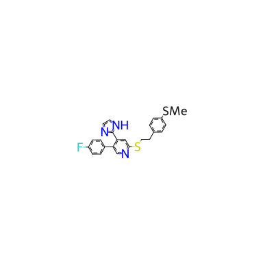 CSc1ccc(CCSc2cc(-c3ncc[nH]3)c(-c3ccc(F)cc3)cn2)cc1